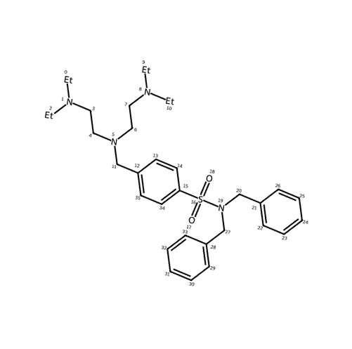 CCN(CC)CCN(CCN(CC)CC)Cc1ccc(S(=O)(=O)N(Cc2ccccc2)Cc2ccccc2)cc1